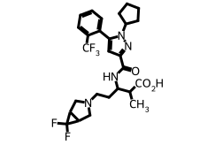 CC(C(=O)O)C(CCN1CC2C(C1)C2(F)F)NC(=O)c1cc(-c2ccccc2C(F)(F)F)n(C2CCCC2)n1